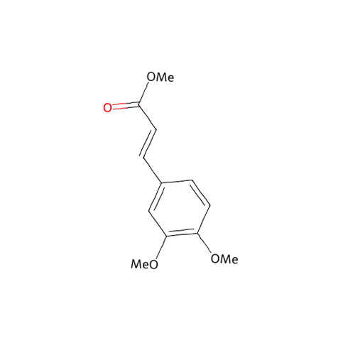 COC(=O)C=Cc1ccc(OC)c(OC)c1